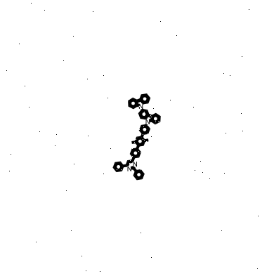 Cc1cc(-c2ccc(-n3c4ccccc4c4cc(-n5c6ccccc6c6ccccc65)ccc43)cc2)c(C)cc1-c1ccc(-c2cc(-c3ccccc3)nc(-c3ccccc3)n2)cc1